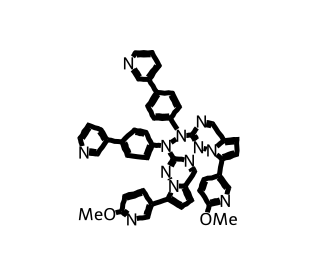 COc1ccc(-c2ccc3cnc(N(c4ccc(-c5cccnc5)cc4)N(c4ccc(-c5cccnc5)cc4)c4ncc5ccc(-c6ccc(OC)nc6)n5n4)nn23)cn1